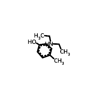 CCNCC.Cc1ccc(O)cc1